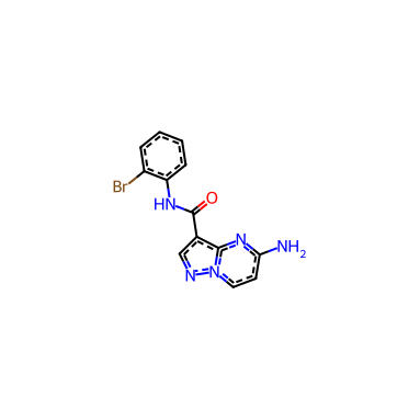 Nc1ccn2ncc(C(=O)Nc3ccccc3Br)c2n1